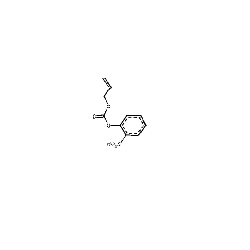 C=CCOC(=O)Oc1ccccc1S(=O)(=O)O